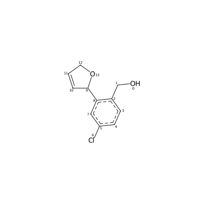 OCc1ccc(Cl)cc1C1C=CCO1